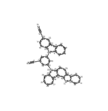 N#Cc1cc(-n2c3ccccc3c3cc(C#N)ccc32)cc(-n2c3ccccc3c3c4sc5ccccc5c4ccc32)c1